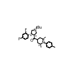 Cc1ccc(N2[C@H](C)CC(C(=O)[C@@H]3CN(C(C)(C)C)C[C@H]3c3ccc(F)cc3F)C[C@@H]2C)cc1